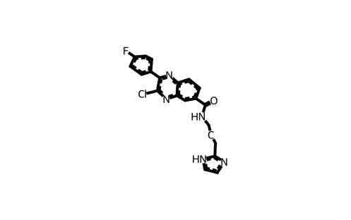 O=C(NCCCc1ncc[nH]1)c1ccc2nc(-c3ccc(F)cc3)c(Cl)nc2c1